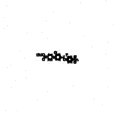 CC(C)(C)OC(=O)N1CCN([C@@H]2CC[C@@H](COc3ccc(S(C)(=O)=O)cc3F)CC2=O)CC1